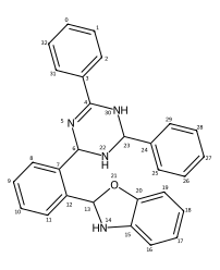 c1ccc(C2=NC(c3ccccc3C3Nc4ccccc4O3)NC(c3ccccc3)N2)cc1